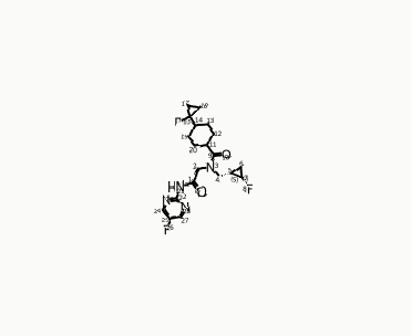 O=C(CN(C[C@@H]1C[C@@H]1F)C(=O)C1CCC(C2(F)CC2)CC1)Nc1ncc(F)cn1